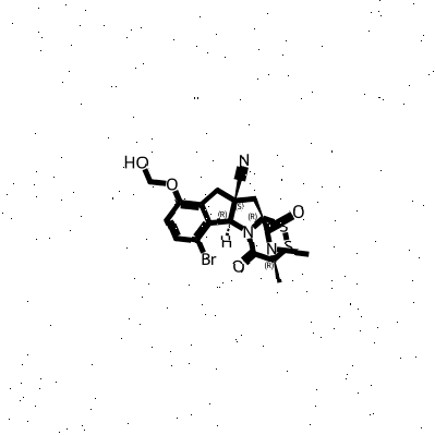 CN1C(=O)[C@]23C[C@@]4(C#N)Cc5c(OCO)ccc(Br)c5[C@@H]4N2C(=O)[C@@]1(C)SS3